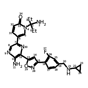 CCC(N)(CC)n1cc(-c2cnc(N)c(-c3cc(-c4ccc(CNC5CC5)cc4F)no3)n2)ccc1=O